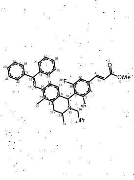 COC(=O)/C=C/c1cc(F)c(C2c3ccc(N=C(c4ccccc4)c4ccccc4)c(C)c3CC(C)N2CC(C)C)c(F)c1